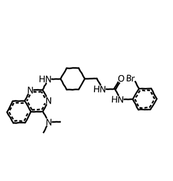 CN(C)c1nc(NC2CCC(CNC(=O)Nc3ccccc3Br)CC2)nc2ccccc12